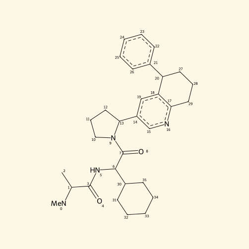 CNC(C)C(=O)NC(C(=O)N1CCCC1c1cnc2c(c1)C(c1ccccc1)CCC2)C1CCCCC1